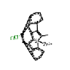 CC1=C2c3cccc4c3c3c2c2c5c6c(cccc6c5c43)[Si]12[Zr+2].[Cl-].[Cl-]